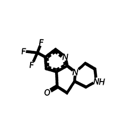 O=C1CC2CNCCN2c2ncc(C(F)(F)F)cc21